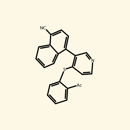 CC(=O)c1ccccc1Sc1ccncc1-c1ccc(C#N)c2ccccc12